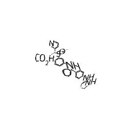 O=C(O)CC(c1cccnc1)[S+]([O-])c1cccc(NC(=O)c2ccc(NC3=CCCCN3)cc2)c1